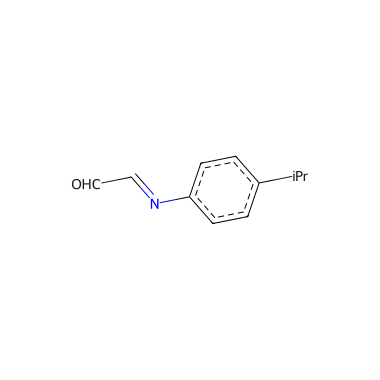 CC(C)c1ccc(N=CC=O)cc1